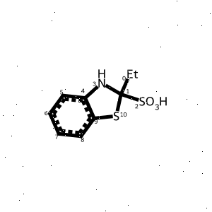 CCC1(S(=O)(=O)O)Nc2ccccc2S1